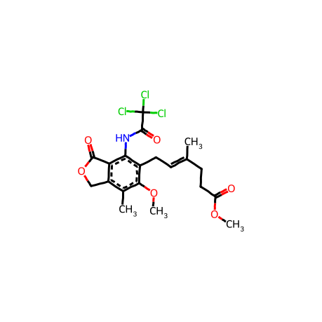 COC(=O)CC/C(C)=C/Cc1c(NC(=O)C(Cl)(Cl)Cl)c2c(c(C)c1OC)COC2=O